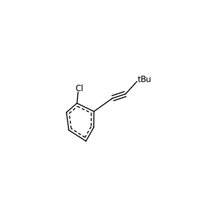 CC(C)(C)C#Cc1ccccc1Cl